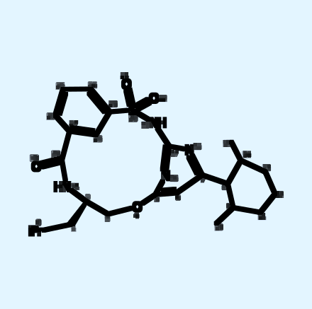 CC(C)C[C@@H]1COc2cc(C3C(C)CCCC3C)nc(n2)NS(=O)(=O)c2cccc(c2)C(=O)N1